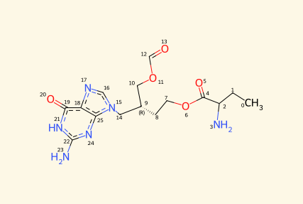 CCC(N)C(=O)OCC[C@@H](COC=O)Cn1cnc2c(=O)[nH]c(N)nc21